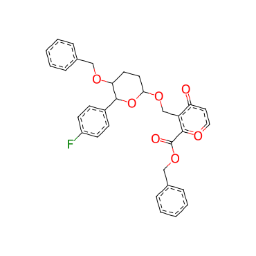 O=C(OCc1ccccc1)c1occc(=O)c1COC1CCC(OCc2ccccc2)C(c2ccc(F)cc2)O1